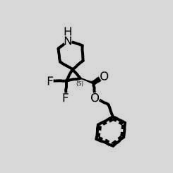 O=C(OCc1ccccc1)[C@H]1C(F)(F)C12CCNCC2